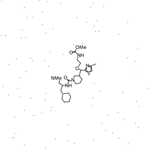 CNCC(CC1CCCCC1)NC(=O)N1CCCC(C(OCCNC(=O)OC)c2nc(C)cs2)C1